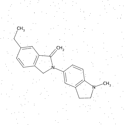 C=C1c2cc(CC)ccc2CN1c1ccc2c(c1)CCN2C